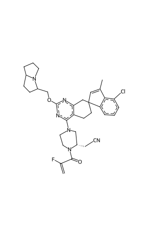 C=C(F)C(=O)N1CCN(c2nc(OCC3CCC4CCCN43)nc3c2CCC2(C=C(C)c4c(Cl)cccc42)C3)C[C@@H]1CC#N